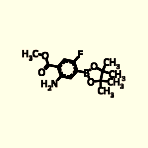 COC(=O)c1cc(F)c(B2OC(C)(C)C(C)(C)O2)cc1N